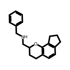 c1ccc(CNCC2CCc3ccc4c(c3O2)CCC4)cc1